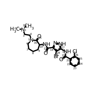 CN(C)CCN1CCCCC(NC(=O)c2n[nH]c(NC(=O)c3ccccc3Cl)c2Br)C1=O